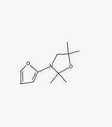 CC1(C)CN(c2ccco2)C(C)(C)O1